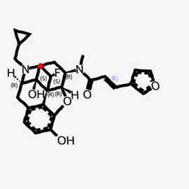 CN(C(=O)/C=C/c1ccoc1)[C@@H]1CC[C@@]2(O)[C@H]3Cc4ccc(O)c5c4[C@@]2([C@H](F)CN3CC2CC2)[C@H]1O5